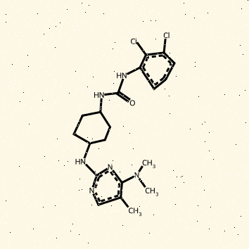 Cc1cnc(NC2CCC(NC(=O)Nc3cccc(Cl)c3Cl)CC2)nc1N(C)C